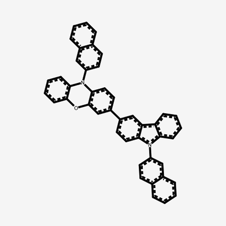 c1ccc2c(c1)Oc1cc(-c3ccc4c(c3)c3ccccc3n4-c3ccc4ccccc4c3)ccc1N2c1ccc2ccccc2c1